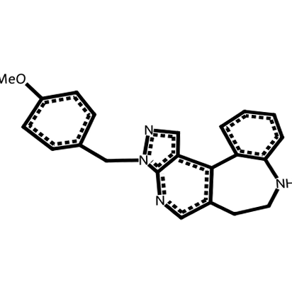 COc1ccc(Cn2ncc3c4c(cnc32)CCNc2ccccc2-4)cc1